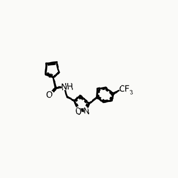 O=C(NCc1cc(-c2ccc(C(F)(F)F)cc2)no1)C1=CC=CC1